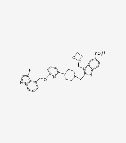 O=C(O)c1ccc2nc(CN3CCC(c4cccc(OCc5cccn6ncc(F)c56)n4)CC3)n(C[C@@H]3CCO3)c2c1